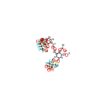 COCc1cc(OS(=O)C(F)(F)C(F)(F)C(F)(F)S(=O)(=O)O)cc(COOCc2cccc(CO)c2OS(=O)(=O)C(F)(F)C(F)(F)C(F)(F)S(=O)(=O)O)c1OC(C)=O